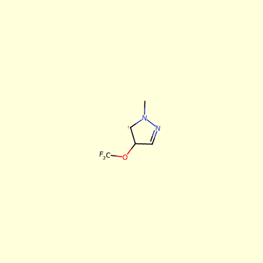 CN1[C]C(OC(F)(F)F)C=N1